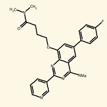 CNc1nc(-c2cccnc2)nc2c(OCCCC(=O)N(C)C)cc(-c3ccc(F)cc3)cc12